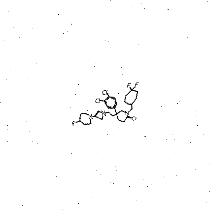 O=C1CCC(CCN2CC(N3CCC(F)CC3)C2)(c2ccc(Cl)c(Cl)c2)CN1CC1CCC(F)(F)CC1